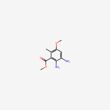 COC(=O)c1c(C)c(OC)cc(N)c1N